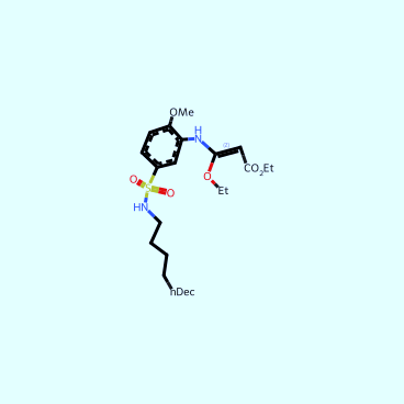 CCCCCCCCCCCCCCNS(=O)(=O)c1ccc(OC)c(N/C(=C/C(=O)OCC)OCC)c1